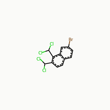 ClC(Cl)c1ccc2ccc(Br)cc2c1C(Cl)Cl